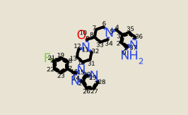 Nc1cc(CN2CCC(C(=O)N3CCC(n4c(-c5ccc(F)cc5)nc5cccnc54)CC3)CC2)ccn1